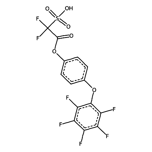 O=C(Oc1ccc(Oc2c(F)c(F)c(F)c(F)c2F)cc1)C(F)(F)S(=O)(=O)O